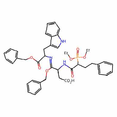 CCOP(=O)(OCC)C(CCc1ccccc1)C(=O)NC(CC(=O)O)C(=NC(Cc1c[nH]c2ccccc12)C(=O)OCc1ccccc1)OCc1ccccc1